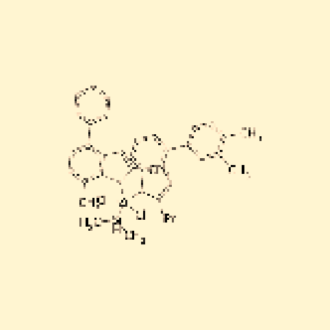 CC1=Cc2c(-c3ccccc3)ccc(C)c2[CH]1[Zr]([Cl])([Cl])([CH]1C(C(C)C)=Cc2c(-c3ccc(C)c(C)c3)cccc21)[SiH](C)C